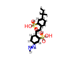 CCC(C)(C)c1ccc(C=Cc2ccc(N=NC)cc2S(=O)(=O)O)c(S(=O)(=O)O)c1